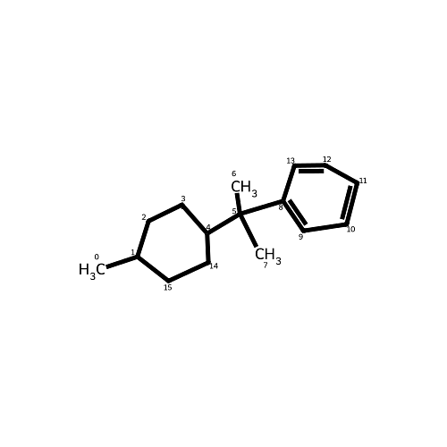 CC1C[CH]C(C(C)(C)c2ccccc2)CC1